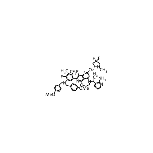 COc1ccc(CN(Cc2ccc(OC)cc2)c2cc(-c3nc4c5c(nc(OC[C@@H]6CC(F)(F)CN6C)nc5c3F)N([C@H](C)c3cccnc3N)CCO4)c(C(F)(F)F)c(C)c2F)cc1